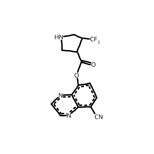 N#Cc1ccc(OC(=O)C2CNCC2C(F)(F)F)c2nccnc12